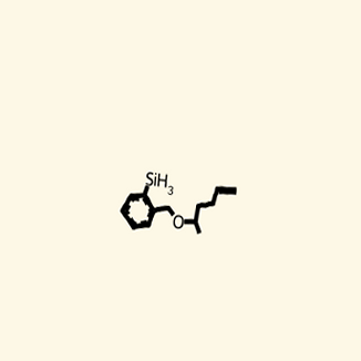 C=CCCC(C)OCc1ccccc1[SiH3]